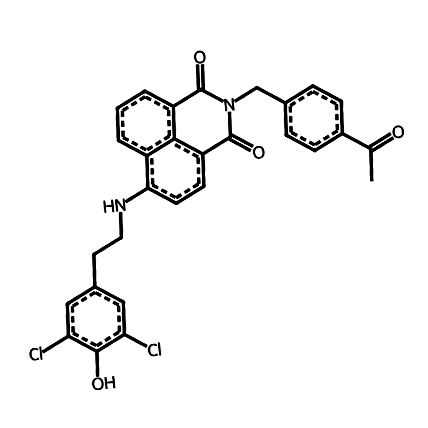 CC(=O)c1ccc(CN2C(=O)c3cccc4c(NCCc5cc(Cl)c(O)c(Cl)c5)ccc(c34)C2=O)cc1